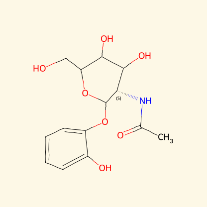 CC(=O)N[C@@H]1C(Oc2ccccc2O)OC(CO)C(O)C1O